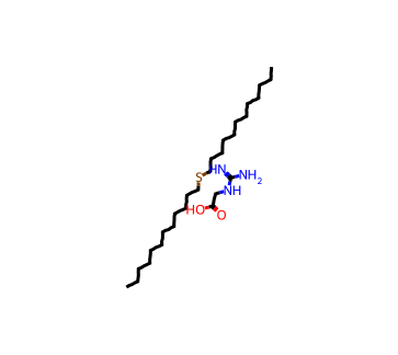 CCCCCCCCCCCCSCCCCCCCCCCCC.N=C(N)NCC(=O)O